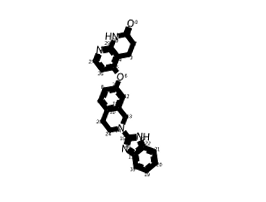 O=C1CCc2c(Oc3ccc4c(c3)CN(c3nc5ccccc5[nH]3)CC4)ccnc2N1